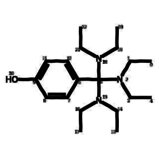 CCN(CC)C(c1ccc(O)cc1)(N(CC)CC)N(CC)CC